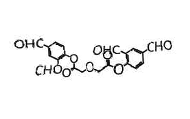 O=Cc1ccc(OC(=O)COCC(=O)Oc2ccc(C=O)cc2C=O)c(C=O)c1